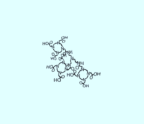 O=C(O)CN1CCN(CC(=O)O)CCN(CC(=O)NCCN(CCNC(=O)CN2CCN(CC(=O)O)CCN(CC(=O)O)CCN(CC(=O)O)CC2)CCNC(=O)CN2CCN(CC(=O)O)CCN(CC(=O)O)CCN(CC(=O)O)CC2)CCN(CC(=O)O)CC1